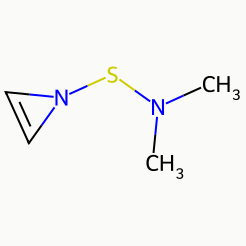 CN(C)SN1C=C1